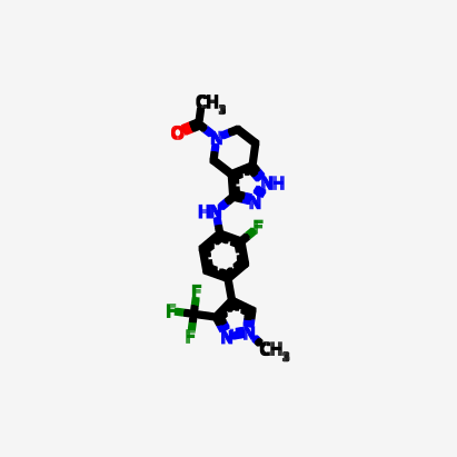 CC(=O)N1CCc2[nH]nc(Nc3ccc(-c4cn(C)nc4C(F)(F)F)cc3F)c2C1